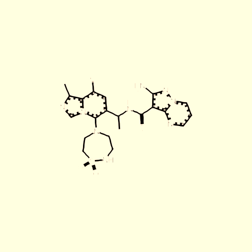 Cc1ncn2c(N3CCNS(=O)(=O)CC3)c(C(C)NC(=O)c3c(N)nn4cccnc34)cc(Cl)c12